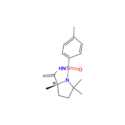 C=C(C)[C@@]1(C)CCC(C)(C)N1S(=N)(=O)c1ccc(C)cc1